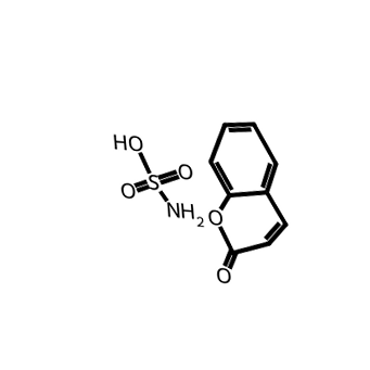 NS(=O)(=O)O.O=c1ccc2ccccc2o1